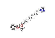 CC(C)(C)CC(COCCCCCCCCCCCCCCCn1ccnc1)OCc1ccccc1